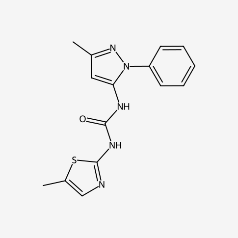 Cc1cc(NC(=O)Nc2ncc(C)s2)n(-c2ccccc2)n1